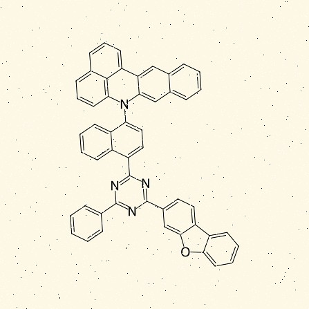 c1ccc(-c2nc(-c3ccc4c(c3)oc3ccccc34)nc(-c3ccc(N4c5cc6ccccc6cc5-c5cccc6cccc4c56)c4ccccc34)n2)cc1